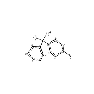 OC(c1ccc(Br)cc1)(c1ccccn1)C(F)(F)F